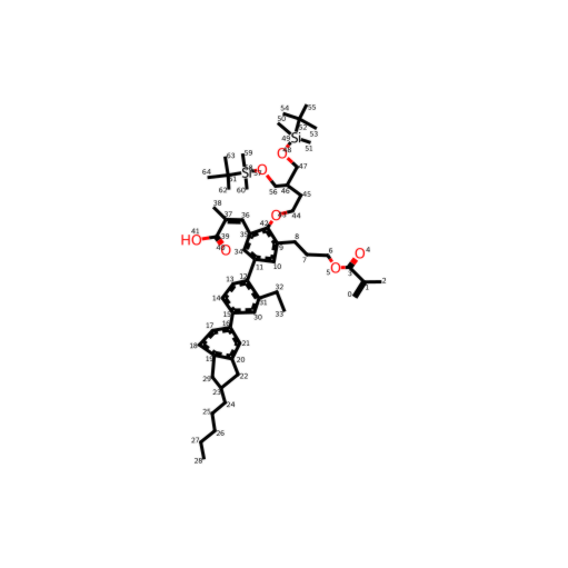 C=C(C)C(=O)OCCCc1cc(-c2ccc(-c3ccc4c(c3)CC(CCCCC)C4)cc2CC)cc(C=C(C)C(=O)O)c1OCCC(CO[Si](C)(C)C(C)(C)C)CO[Si](C)(C)C(C)(C)C